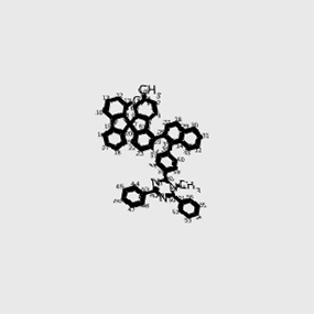 CC1C=CC2=C(C1)C1(C3=C(C=CCC3C)c3ccccc31)c1cccc(-c3ccc4ccccc4c3-c3ccc(C4N=C(c5ccccc5)N=C(c5ccccc5)N4C)cc3)c12